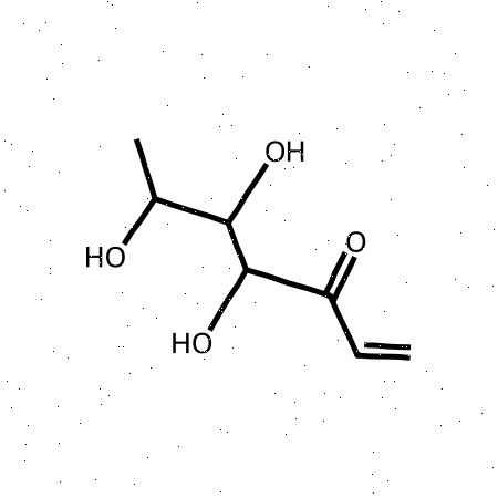 C=CC(=O)C(O)C(O)C(C)O